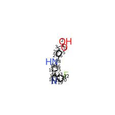 O=C(O)Cc1ccc(CN[C@H]2CC[C@H](c3ccnc4ccc(F)cc43)CC2)cc1